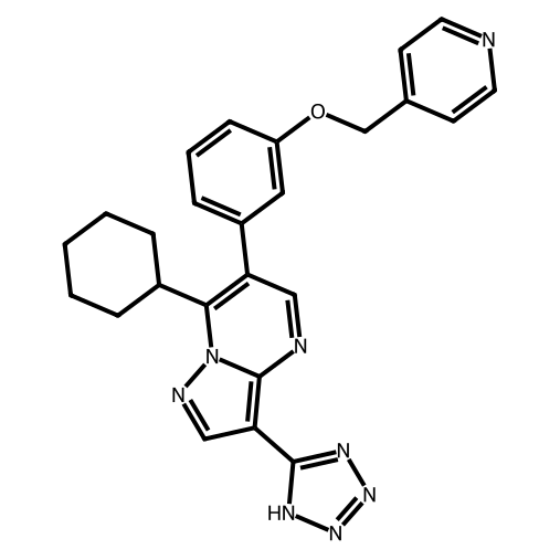 c1cc(OCc2ccncc2)cc(-c2cnc3c(-c4nnn[nH]4)cnn3c2C2CCCCC2)c1